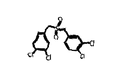 O=S(=O)(Cc1ccc(Cl)c(Cl)c1)Cc1ccc(Cl)c(Cl)c1